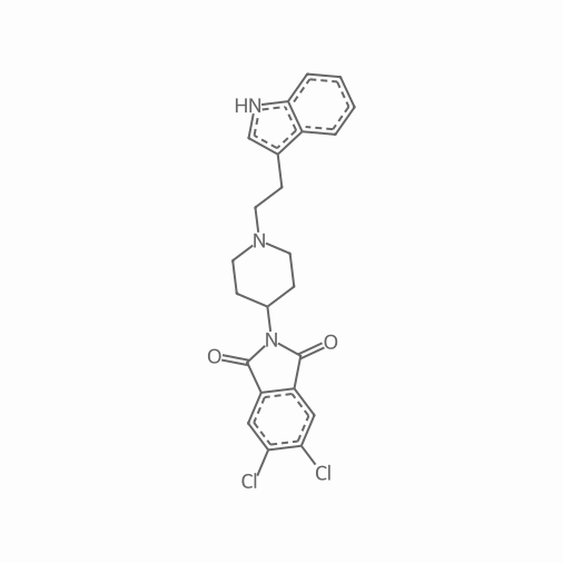 O=C1c2cc(Cl)c(Cl)cc2C(=O)N1C1CCN(CCc2c[nH]c3ccccc23)CC1